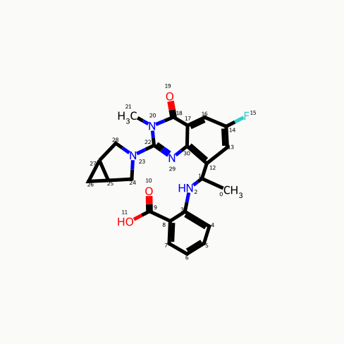 CC(Nc1ccccc1C(=O)O)c1cc(F)cc2c(=O)n(C)c(N3CC4CC4C3)nc12